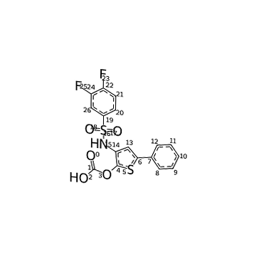 O=C(O)Oc1sc(-c2ccccc2)cc1NS(=O)(=O)c1ccc(F)c(F)c1